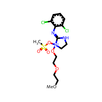 COCCOCCO[N+]1(OS(C)(=O)=O)CCNC1=Nc1c(Cl)cccc1Cl